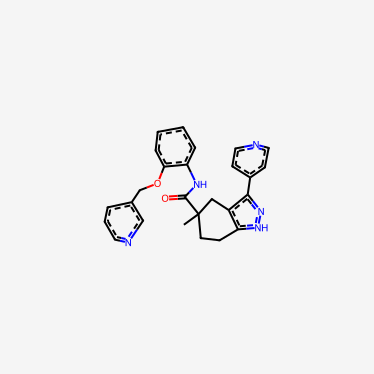 CC1(C(=O)Nc2ccccc2OCc2cccnc2)CCc2[nH]nc(-c3ccncc3)c2C1